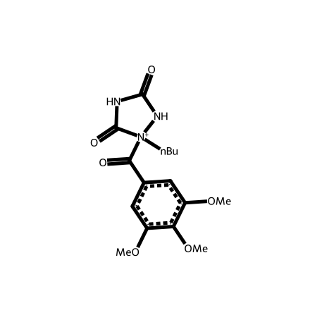 CCCC[N+]1(C(=O)c2cc(OC)c(OC)c(OC)c2)NC(=O)NC1=O